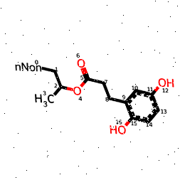 CCCCCCCCCCC(C)OC(=O)CCc1cc(O)ccc1O